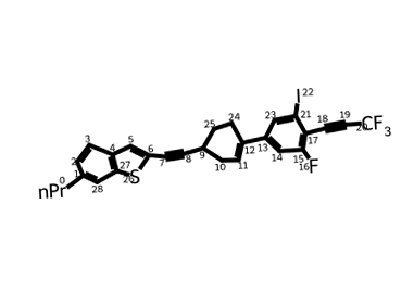 CCCc1ccc2cc(C#CC3CC=C(c4cc(F)c(C#CC(F)(F)F)c(I)c4)CC3)sc2c1